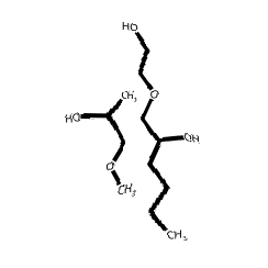 CCCCC(O)COCCO.COCC(C)O